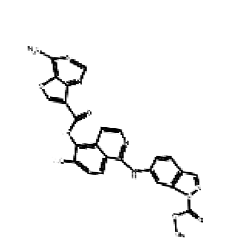 Cc1ccc2c(Nc3ccc4cnn(C(=O)OC(C)(C)C)c4c3)nccc2c1NC(=O)c1csc2c(N)ncnc12